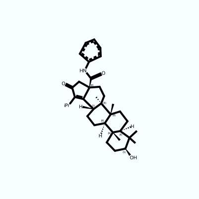 CC(C)C1=C2[C@H]3CC[C@@H]4[C@@]5(C)CC[C@H](O)C(C)(C)[C@@H]5CC[C@@]4(C)[C@]3(C)CC[C@@]2(C(=O)Nc2ccccc2)CC1=O